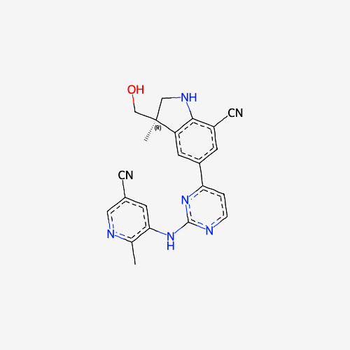 Cc1ncc(C#N)cc1Nc1nccc(-c2cc(C#N)c3c(c2)[C@@](C)(CO)CN3)n1